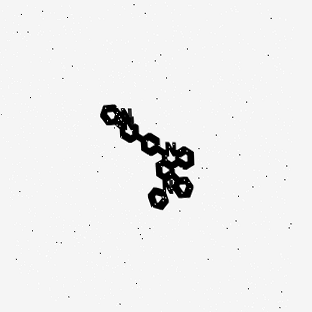 c1ccc(-n2c3ccccc3c3c4c(ccc32)c(-c2ccc(-c3ccc5c6ccccc6nn5c3)cc2)nc2ccccc24)cc1